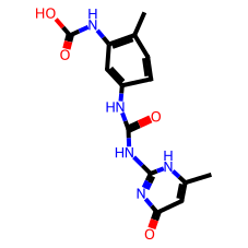 Cc1cc(=O)nc(NC(=O)Nc2ccc(C)c(NC(=O)O)c2)[nH]1